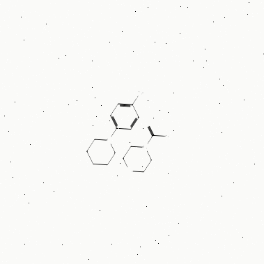 NC(=O)N1CCOCC1.O=[N+]([O-])c1ccc(N2CCCCC2)cc1